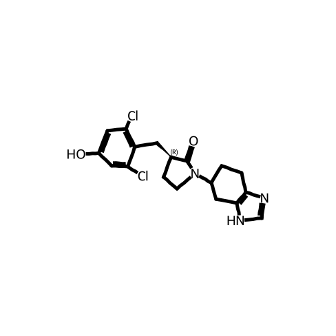 O=C1[C@H](Cc2c(Cl)cc(O)cc2Cl)CCN1C1CCc2nc[nH]c2C1